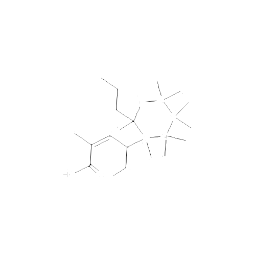 CCCC1(C)O[Si](C)(C)[Si](C)(C)[Si](C)(C)[Si]1(C)C(C=C(C)C(=O)O)CC